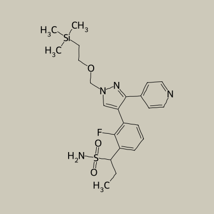 CCC(c1cccc(-c2cn(COCC[Si](C)(C)C)nc2-c2ccncc2)c1F)S(N)(=O)=O